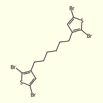 Brc1cc(CCCCCCc2cc(Br)sc2Br)c(Br)s1